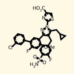 COc1cc(F)c(-c2cccc(Cl)c2)cc1-c1nn(-c2nc(C(=O)O)cs2)c(CC2CC2)c1Cc1ccc(S(N)(=O)=O)c(F)c1